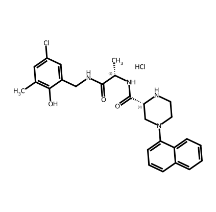 Cc1cc(Cl)cc(CNC(=O)[C@H](C)NC(=O)[C@H]2CN(c3cccc4ccccc34)CCN2)c1O.Cl